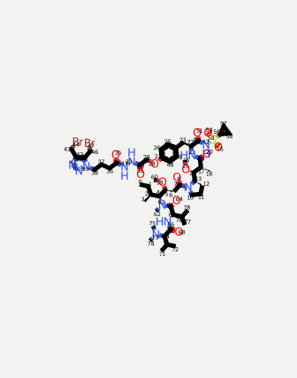 CC[C@H](C)[C@@H]([C@@H](CC(=O)N1CCC[C@H]1[C@H](OC)[C@@H](C)C(=O)N[C@@H](Cc1ccc(OCC(=O)NNC(=O)CCCn2nnc(CBr)c2CBr)cc1)C(=O)NS(=O)(=O)C1CC1)OC)N(C)C(=O)[C@@H](NC(=O)C(C(C)C)N(C)C)C(C)C